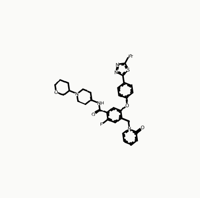 CC(C)c1nnc(-c2ccc(Oc3cc(C(=O)NC4CCN(C5CCCOC5)CC4)c(F)cc3Cn3ccccc3=O)cc2)s1